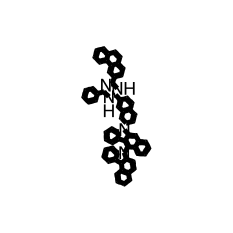 C1=CC2=C(C=CC3C2c2ccccc2N3c2c3ccccc3cc3c2c2ccccc2n3C2C=Cc3ccc(C4NC(c5ccc6ccc7ccccc7c6c5)=NC(c5ccccc5)N4)cc3C2)CC1